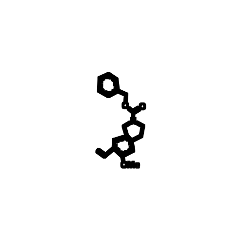 C=Cc1cc2c(cc1OC)CCN(C(=O)OCc1ccccc1)C2